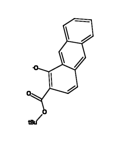 CC(C)(C)OC(=O)c1ccc2cc3ccccc3cc2c1[O]